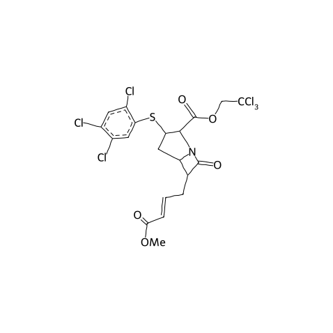 COC(=O)C=CCC1C(=O)N2C1CC(Sc1cc(Cl)c(Cl)cc1Cl)C2C(=O)OCC(Cl)(Cl)Cl